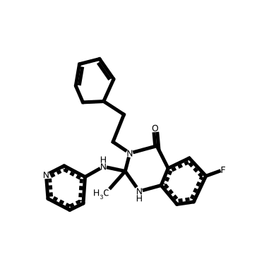 CC1(Nc2cccnc2)Nc2ccc(F)cc2C(=O)N1CCC1C=CC=CC1